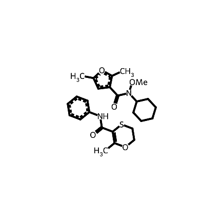 CC1=C(C(=O)Nc2ccccc2)SCCO1.CON(C(=O)c1cc(C)oc1C)C1CCCCC1